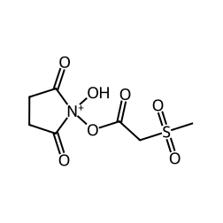 CS(=O)(=O)CC(=O)O[N+]1(O)C(=O)CCC1=O